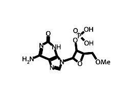 COCC1OC(n2cnc3c(N)nc(=O)[nH]c32)C1OP(=O)(O)O